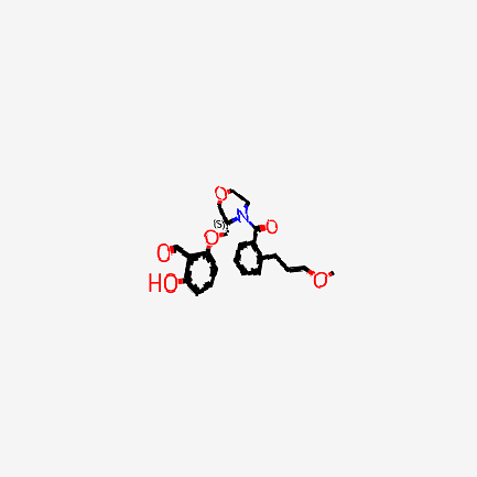 COCCCc1ccccc1C(=O)N1CCOC[C@H]1COc1cccc(O)c1C=O